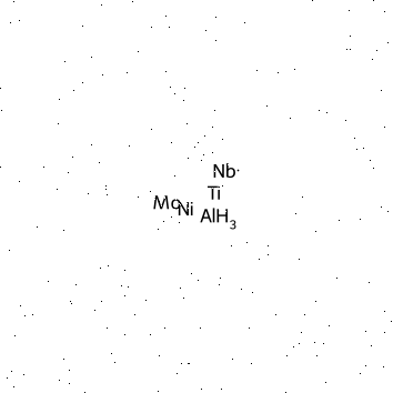 [AlH3].[Mo].[Nb].[Ni].[Ti]